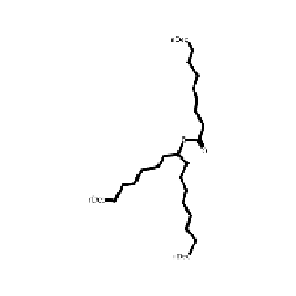 CCCCCCCCCCCCCCCCCC(=O)OC(CCCCCCCCCCCCCCCC)CCCCCCCCCCCCCCCCC